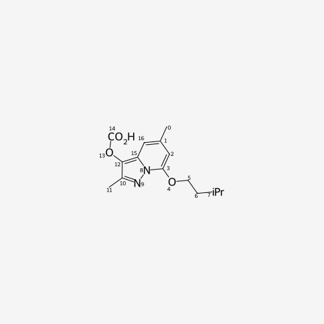 Cc1cc(OCCC(C)C)n2nc(C)c(OC(=O)O)c2c1